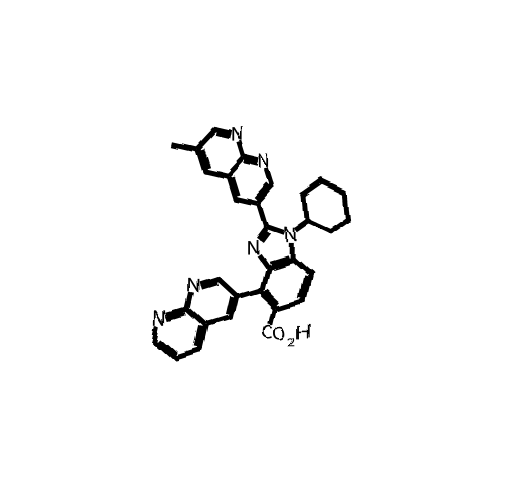 Cc1cnc2ncc(-c3nc4c(-c5cnc6ncccc6c5)c(C(=O)O)ccc4n3C3CCCCC3)cc2c1